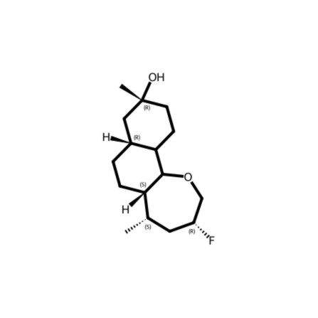 C[C@H]1C[C@@H](F)COC2C3CC[C@@](C)(O)C[C@H]3CC[C@H]21